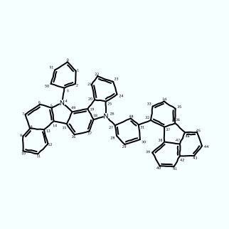 c1ccc(-n2c3ccc4ccccc4c3c3ccc4c(c5ccccc5n4-c4cccc(-c5cccc6c5-c5cccc7cccc-6c57)c4)c32)cc1